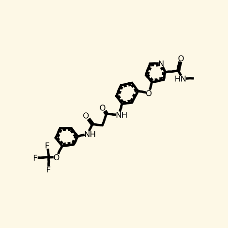 CNC(=O)c1cc(Oc2cccc(NC(=O)CC(=O)Nc3cccc(OC(F)(F)F)c3)c2)ccn1